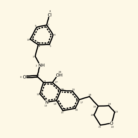 O=C(NCc1ccc(Cl)cc1)c1cnc2ccc(CC3CCOCC3)cc2c1O